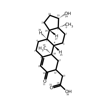 C[C@]12CC[C@H]3[C@@H](CCC4=CC(=O)C(CC(=O)O)C[C@@]43C)[C@@H]1CC[C@@H]2O